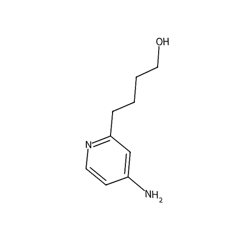 Nc1ccnc(CCCCO)c1